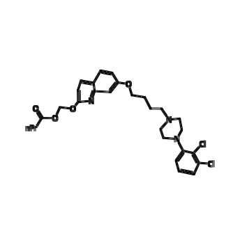 CCCC(=O)OCOc1ccc2ccc(OCCCCN3CCN(c4cccc(Cl)c4Cl)CC3)cc2n1